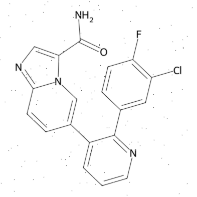 NC(=O)c1cnc2ccc(-c3cccnc3-c3ccc(F)c(Cl)c3)cn12